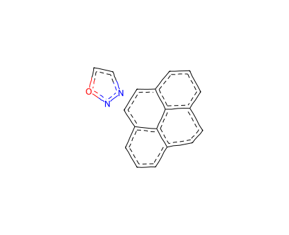 c1cc2ccc3cccc4ccc(c1)c2c34.c1conn1